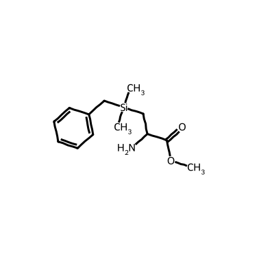 COC(=O)C(N)C[Si](C)(C)Cc1ccccc1